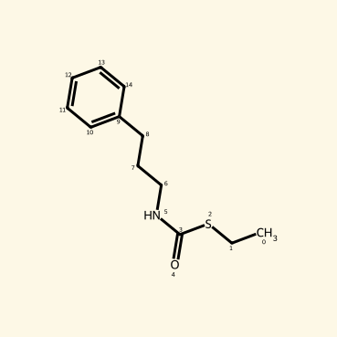 CCSC(=O)NCCCc1ccccc1